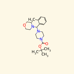 Cc1ccccc1C(N1CCOCC1)N1CCN(C(=O)OC(C)(C)C)CC1